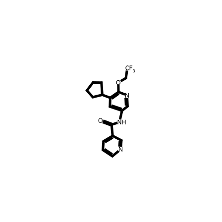 O=C(Nc1cnc(OCC(F)(F)F)c(C2CCCC2)c1)c1cccnc1